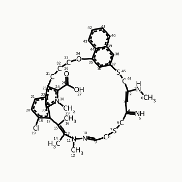 CN/C1=C\C(=N)CSC/C=N/N(C)/C(C)=C(\C)c2c(Cl)ccc3c(c(C(=O)O)n(C)c23)CCCOc2cc(cc3ccccc23)SC1